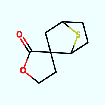 O=C1OCCC12CC1CCC2S1